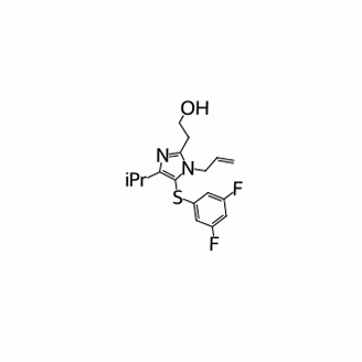 C=CCn1c(CCO)nc(C(C)C)c1Sc1cc(F)cc(F)c1